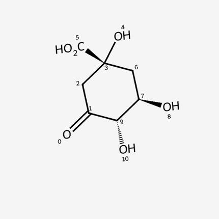 O=C1C[C@@](O)(C(=O)O)C[C@@H](O)[C@@H]1O